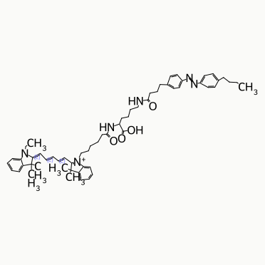 CCCCc1ccc(N=Nc2ccc(CCCC(=O)NCCCCC(NC(=O)CCCCC[N+]3=C(/C=C/C=C/C=C4/N(CC)c5ccccc5C4(C)C)C(C)(C)c4ccccc43)C(=O)O)cc2)cc1